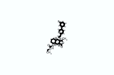 CCOC(=O)N[C@@H]1CCC[C@H]2[C@H](/C=C/c3ccc(-c4cccc(F)c4)cn3)[C@@H]3[C@@H](C)OC(=O)[C@@H]3C[C@@H]21